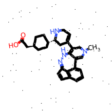 CN1C=C2C(=C(C3=CCNC([C@H]4CC[C@H](CC(=O)O)CC4)C3)C1)NN=C1C=Cc3cccc2c31